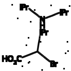 CC(C)C(Br)C(=O)O.CC(C)NC(C)C